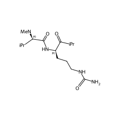 CN[C@@H](C(=O)N[C@H](CCCNC(N)=O)C(=O)C(C)C)C(C)C